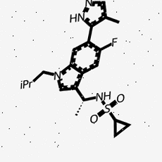 Cc1cn[nH]c1-c1cc2c(cc1F)c([C@@H](C)NS(=O)(=O)C1CC1)cn2CC(C)C